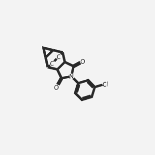 O=C1C2C3CCC(C4CC43)C2C(=O)N1c1cccc(Cl)c1